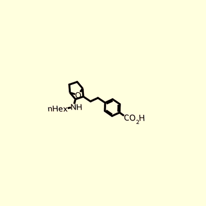 CCCCCCNC1C2CCC(O2)C1CCc1ccc(C(=O)O)cc1